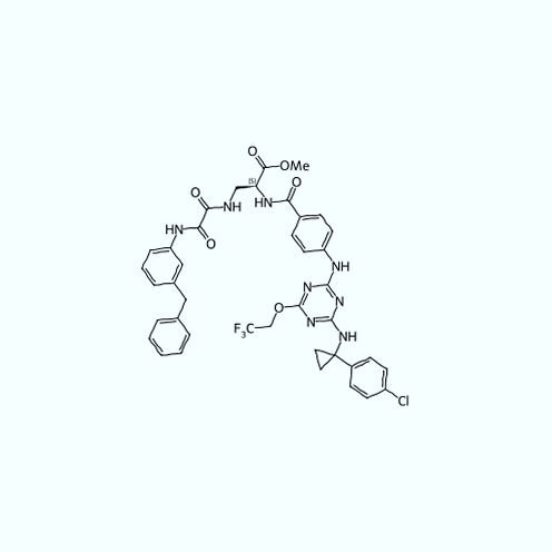 COC(=O)[C@H](CNC(=O)C(=O)Nc1cccc(Cc2ccccc2)c1)NC(=O)c1ccc(Nc2nc(NC3(c4ccc(Cl)cc4)CC3)nc(OCC(F)(F)F)n2)cc1